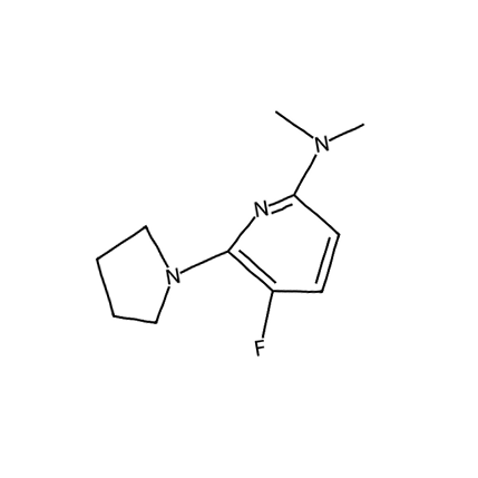 CN(C)c1ccc(F)c(N2CCCC2)n1